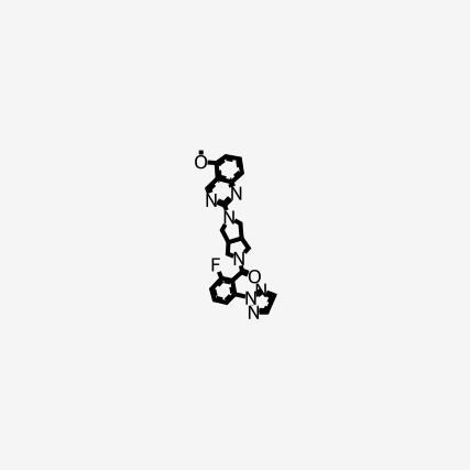 COc1cccc2nc(N3CC4CN(C(=O)c5c(F)cccc5-n5nccn5)CC4C3)ncc12